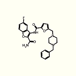 NC(=O)c1oc2ccc(F)cc2c1NC(=O)c1ccc(CN2CCN(Cc3ccccc3)CC2)o1